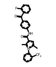 Cc1cc(C(=O)Nc2ccc(C(=O)c3ccccc3F)cc2)c(C)n1-c1ccccc1C(F)(F)F